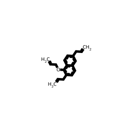 C=CCOc1c(CC=C)ccc2cc(CC=C)ccc12